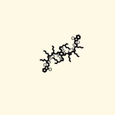 CCCCc1cc(C=C2C(=O)c3ccccc3C2=O)sc1-c1cc(CCCC)c(-c2cc(CCCC)c(-c3cc4c(-c5ccc(CC(CC)CCCC)s5)c5sc(-c6sc(-c7sc(-c8sc(C=C9C(=O)c%10ccccc%10C9=O)cc8CCCC)cc7CCCC)cc6CCCC)cc5c(-c5ccc(CC(CC)CCCC)s5)c4s3)s2)s1